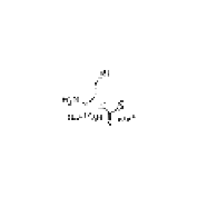 NC(CCS)C(=O)O.S=C([S-])[S-].[Na+].[Na+]